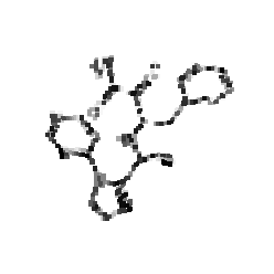 NC(=O)C(=O)C(Cc1ccccc1)NC(=O)c1nccn1-c1ccncn1